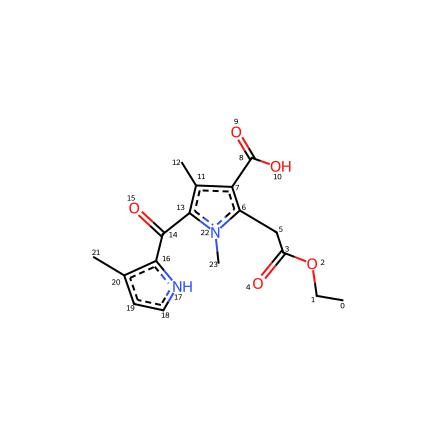 CCOC(=O)Cc1c(C(=O)O)c(C)c(C(=O)c2[nH]ccc2C)n1C